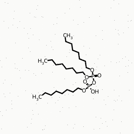 CCCCCCCCOP(=O)(O)OP(=O)(OCCCCCCCC)OCCCCCCCC